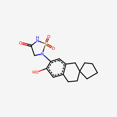 O=C1CN(c2cc3c(cc2O)CCC2(CCCC2)C3)S(=O)(=O)N1